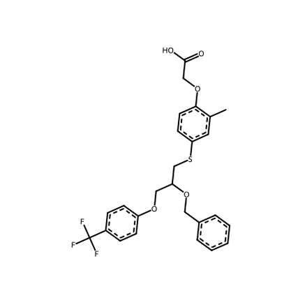 Cc1cc(SCC(COc2ccc(C(F)(F)F)cc2)OCc2ccccc2)ccc1OCC(=O)O